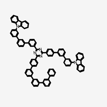 C1=Cc2c(n(-c3cccc(-c4cccc(-c5cccc(-c6nc(-c7ccc(-c8cccc(-c9cccc(-c%10cccc(-c%11ccccc%11)c%10)c9)c8)cc7)nc(-c7ccc(-c8cccc(C9C=C(n%10c%11ccccc%11c%11ccccc%11%10)C=CC9)c8)cc7)n6)c5)c4)c3)c3ccccc23)CC1